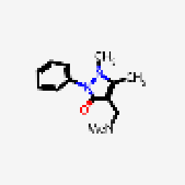 CNCc1c(C)n(C)n(-c2ccccc2)c1=O